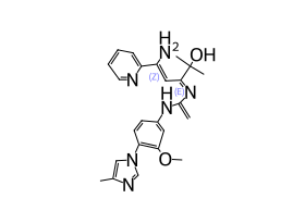 C=C(/N=C(\C=C(/N)c1ccccn1)C(C)(C)O)Nc1ccc(-n2cnc(C)c2)c(OC)c1